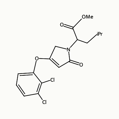 COC(=O)C(CC(C)C)N1CC(Oc2cccc(Cl)c2Cl)=CC1=O